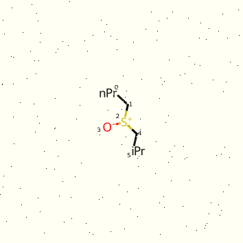 CCCC[S+]([O-])CC(C)C